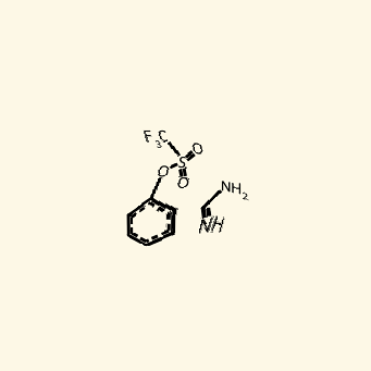 N=CN.O=S(=O)(Oc1ccccc1)C(F)(F)F